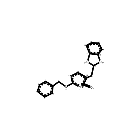 O=c1[nH]c(SCc2ccccc2)ncc1CC1Oc2ccccc2O1